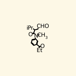 CCC(=O)c1cccc(N(C)C(=O)C(CC=O)C(C)C)c1